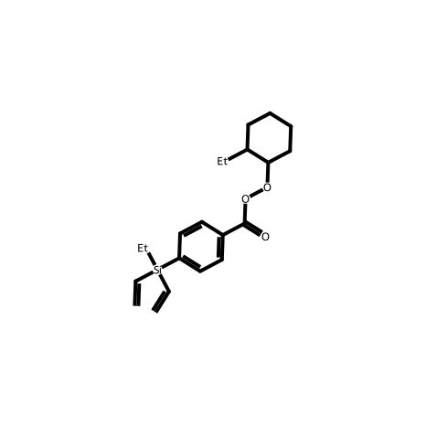 C=C[Si](C=C)(CC)c1ccc(C(=O)OO[C]2CCCCC2CC)cc1